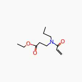 C=CC(=O)N(CCC)CCC(=O)OCC